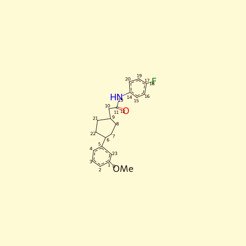 COc1cccc(C2CCC(CC(=O)Nc3ccc(F)cc3)CC2)c1